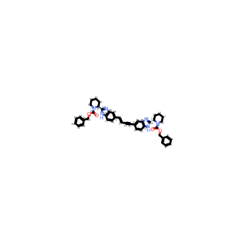 O=C(OCc1ccccc1)N1CCCC[C@H]1c1nc2cc(C#CC=Cc3ccc4[nH]c([C@@H]5CCCCN5C(=O)OCc5ccccc5)nc4c3)ccc2[nH]1